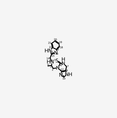 CC(CN1C(=S)NCc2[nH]cnc21)NCc1nc2ccccc2[nH]1